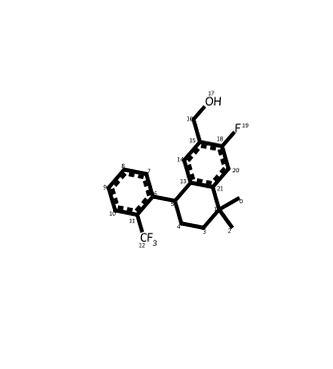 CC1(C)CCC(c2ccccc2C(F)(F)F)c2cc(CO)c(F)cc21